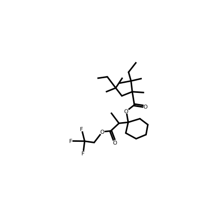 CCC(C)(C)CC(C)(C(=O)OC1(C(C)C(=O)OCC(F)(F)F)CCCCC1)C(C)(C)CC